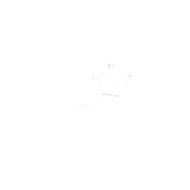 CC(C)O.CCO.CCOC(=O)C(C)O